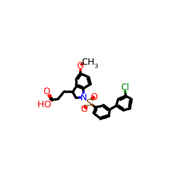 COc1ccc2c(c1)C(CCC(=O)O)CN2S(=O)(=O)c1cccc(-c2cccc(Cl)c2)c1